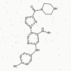 CC(C)Nc1cc(Nc2ccc(C#N)cc2)ncc1-n1ccc(C(=O)N2CCNCC2)n1